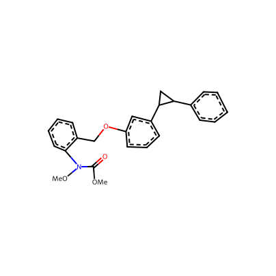 COC(=O)N(OC)c1ccccc1COc1cccc(C2CC2c2ccccc2)c1